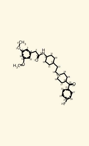 COc1cc(CC(=O)NC2CCC(CCN3CCC(C(=O)c4ccc(F)cc4)CC3)CC2)cc(OC)c1